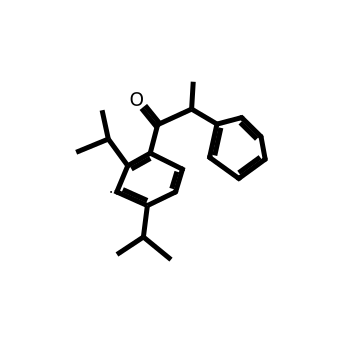 CC(C)c1[c]c(C(C)C)c(C(=O)C(C)c2ccccc2)cc1